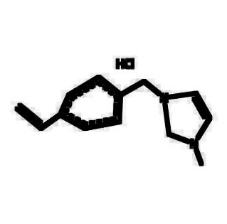 C=Cc1ccc(CN2C=CN(C)C2)cc1.Cl